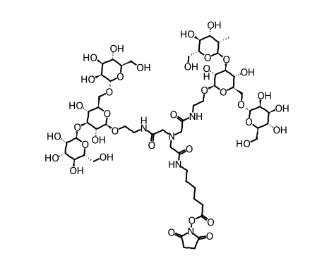 C[C@@H]1[C@@H](O[C@@H]2[C@@H](O)[C@H](OCCNC(=O)CN(CC(=O)NCCCCCC(=O)ON3C(=O)CCC3=O)CC(=O)NCCO[C@@H]3O[C@H](CO[C@H]4O[C@H](CO)[C@@H](O)[C@H](O)[C@@H]4O)[C@@H](O)[C@H](O[C@H]4O[C@H](CO)[C@@H](O)[C@H](O)[C@@H]4O)[C@H]3O)O[C@H](CO[C@H]3O[C@H](CO)[C@@H](O)[C@H](O)[C@@H]3O)[C@H]2O)O[C@H](CO)[C@@H](O)[C@@H]1O